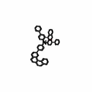 c1ccc(-c2ccc(N(c3ccc(-c4ccc5ccc6ccc7ccccc7c6c5c4)cc3)c3ccc(-c4ccccc4)cc3-c3cccc4ccccc34)cc2)cc1